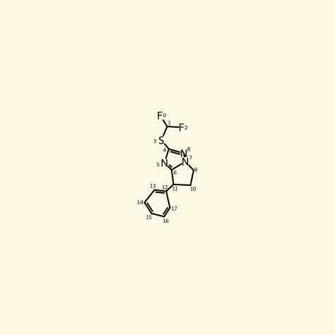 FC(F)Sc1nc2n(n1)CCC2c1ccccc1